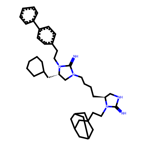 N=C1NC[C@H](CCCCN2C[C@H](CC3CCCCC3)N(CCc3ccc(-c4ccccc4)cc3)C2=N)N1CCC12CC3CC(CC(C3)C1)C2